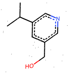 CC(C)c1cncc(CO)c1